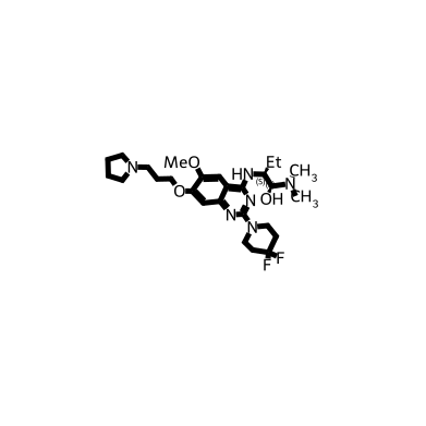 CC[C@H](Nc1nc(N2CCC(F)(F)CC2)nc2cc(OCCCN3CCCC3)c(OC)cc12)[C@H](O)N(C)C